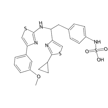 COc1cccc(-c2csc(NC(Cc3ccc(NS(=O)(=O)O)cc3)c3csc(C4CC4)n3)n2)c1